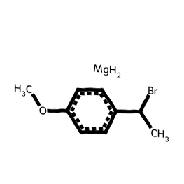 COc1ccc(C(C)Br)cc1.[MgH2]